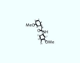 COc1cccc(CC(=O)Nc2ccc(C)c(OC)c2)c1